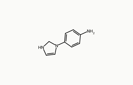 Nc1ccc(N2C=CNC2)cc1